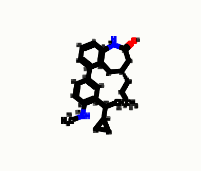 CCC[C@H]1CC(=O)Nc2cccc(-c3ccc(NC)c(C(C)C4CC4)c3)c2C1